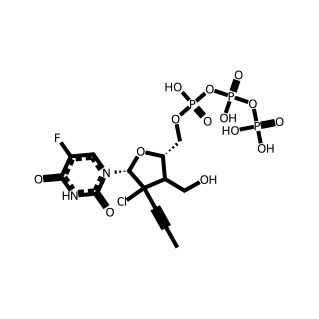 CC#CC1(Cl)C(CO)[C@@H](COP(=O)(O)OP(=O)(O)OP(=O)(O)O)O[C@H]1n1cc(F)c(=O)[nH]c1=O